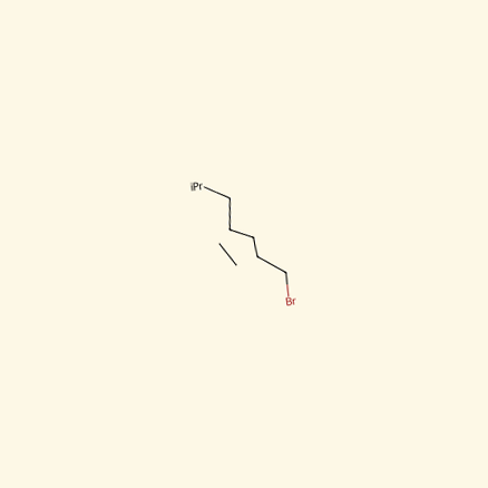 CC.CC(C)CCCCCBr